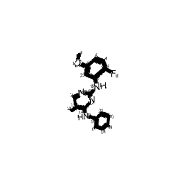 COc1ccc(F)c(Nc2ncc(C)c(Nc3ccccc3)n2)c1